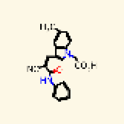 Cc1ccc2c(c1)c(C=C(C#N)C(=O)Nc1ccccc1)cn2CC(=O)O